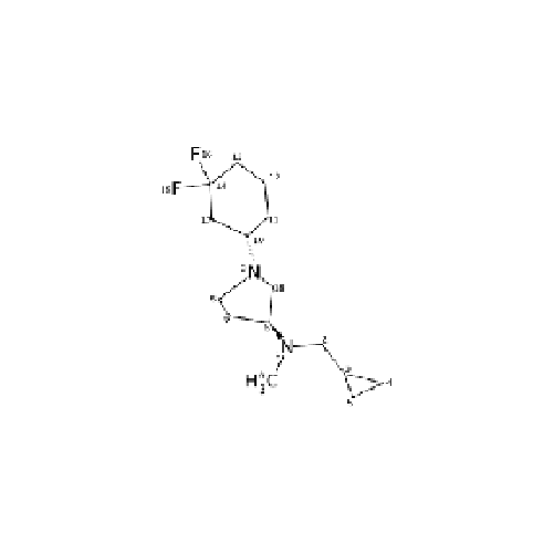 CN(CC1CC1)[C@H]1CCN([C@H]2CCCC(F)(F)C2)C1